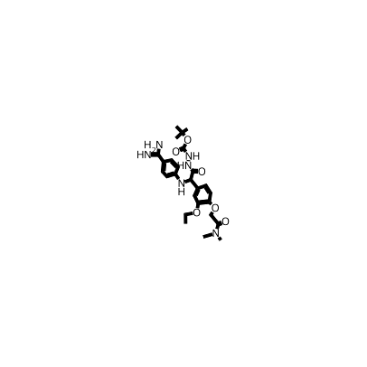 CCOc1cc(C(Nc2ccc(C(=N)N)cc2)C(=O)NNC(=O)OC(C)(C)C)ccc1OCC(=O)N(C)C